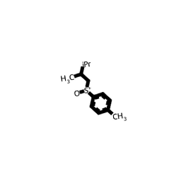 Cc1ccc([S+]([O-])CC(C)C(C)C)cc1